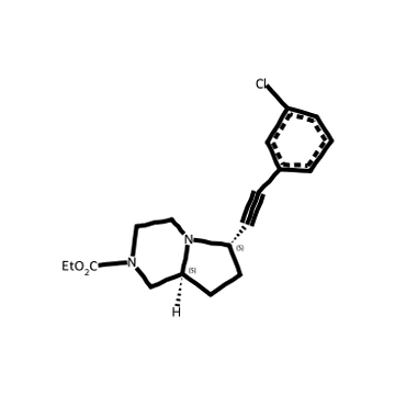 CCOC(=O)N1CCN2[C@@H](CC[C@H]2C#Cc2cccc(Cl)c2)C1